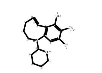 Cc1c(Cl)cc2c(c1O)/C=C/CCCN2C1CCCCO1